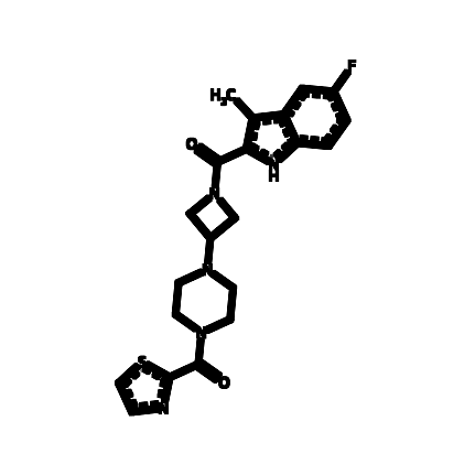 Cc1c(C(=O)N2CC(N3CCN(C(=O)c4nccs4)CC3)C2)[nH]c2ccc(F)cc12